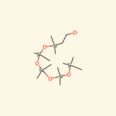 C[Si](C)(C)O[Si](C)(C)O[Si](C)(C)O[Si](C)(C)O[Si](C)(C)CC[O]